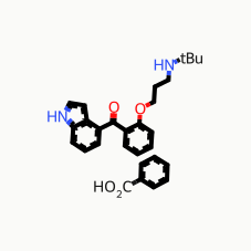 CC(C)(C)NCCCOc1ccccc1C(=O)c1cccc2[nH]ccc12.O=C(O)c1ccccc1